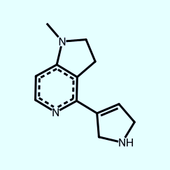 CN1CCc2c1ccnc2C1=CCNC1